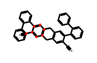 CCc1ccc2c(c1)C1c3cc(C#N)c(-c4ccccc4-c4ccccc4)cc3C2c2cc(-c3ccccc3-c3ccccc3)c(C#N)cc21